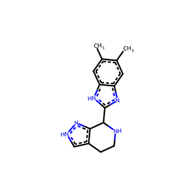 Cc1cc2nc(C3NCCc4c[nH]nc43)[nH]c2cc1C